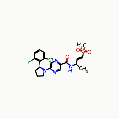 C[C@H](/C=C/S(C)(=O)=O)NC(=O)c1cnc(N2CCC[C@H]2c2c(F)cccc2Cl)cn1